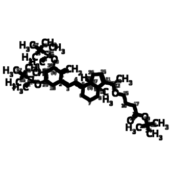 C=C1C(=CC=C2CCC[C@]3(C)C([C@H](C)OCCCC(=O)OC(C)(C)C)=CC[C@@H]23)C[C@@H](O[Si](C)(C)C(C)(C)C)C[C@@H]1O[Si](C)(C)C(C)(C)C